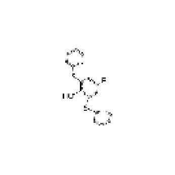 Oc1c(Sc2ccccc2)cc(F)cc1Sc1ccccc1